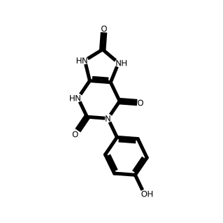 O=c1[nH]c2[nH]c(=O)n(-c3ccc(O)cc3)c(=O)c2[nH]1